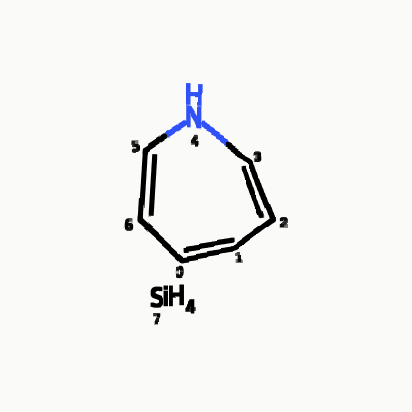 C1=CC=CNC=C1.[SiH4]